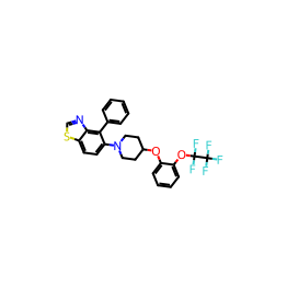 FC(F)(F)C(F)(F)Oc1ccccc1OC1CCN(c2ccc3scnc3c2-c2ccccc2)CC1